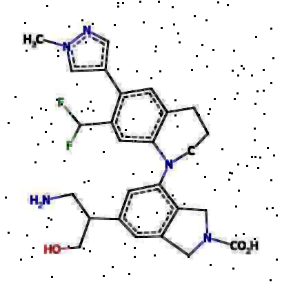 Cn1cc(-c2cc3c(cc2C(F)F)N(c2cc(C(CN)CO)cc4c2CN(C(=O)O)C4)CCC3)cn1